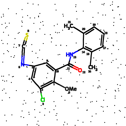 COc1c(Cl)cc(N=C=S)cc1C(=O)Nc1c(C)cccc1C